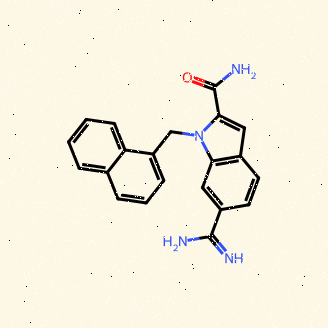 N=C(N)c1ccc2cc(C(N)=O)n(Cc3cccc4ccccc34)c2c1